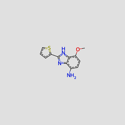 COc1ccc(N)c2nc(-c3cccs3)[nH]c12